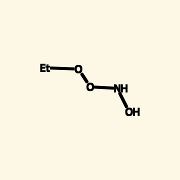 CCOONO